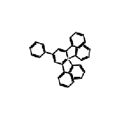 C1=C(c2ccccc2)C=C(c2ccccc2)P(c2ccccc2)(c2ccccc2)=C1c1ccccc1